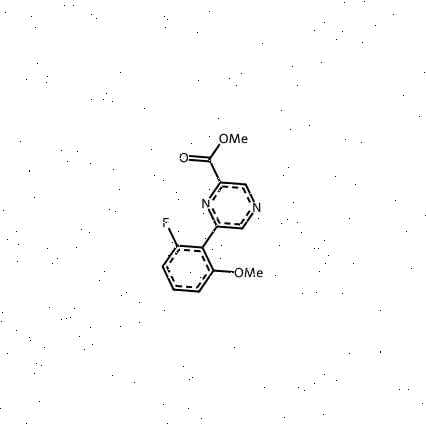 COC(=O)c1cncc(-c2c(F)cccc2OC)n1